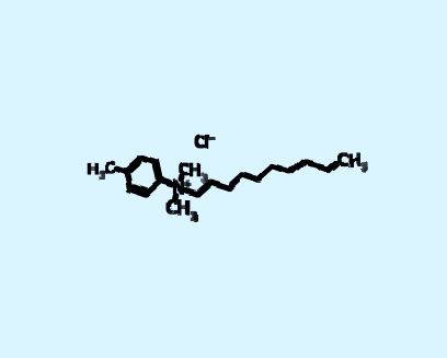 CCCCCCCCCC[N+](C)(C)c1ccc(C)cc1.[Cl-]